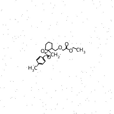 [CH2]C1(S(=O)(=O)c2ccc(C)cc2)CCCCC1COCC(=O)OCC